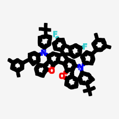 Cc1cc(C)cc(-c2ccc(N(c3ccc(C(C)(C)C)cc3)c3cc4c(c5oc6ccccc6c35)-c3c(cc(N(c5ccc(-c6cc(C)cc(C)c6)cc5)c5ccc(C(C)(C)C)cc5)c5c3oc3ccccc35)C43c4ccc(F)cc4-c4cc(F)ccc43)cc2)c1